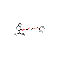 C=C(C)C1CCC(C)CC1OCCOCCOCC(C)C